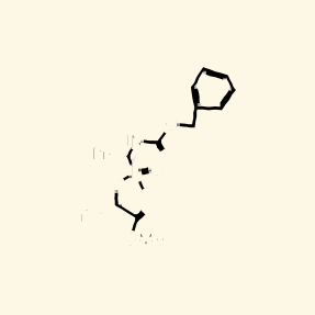 COC(=O)[C@@H](OP(C)(=O)[C@@H](NC(=O)OCc1ccccc1)C(C)C)C(C)C